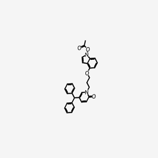 CC(=O)On1ccc2c(OCCCn3cc(C(c4ccccc4)c4ccccc4)ccc3=O)cccc21